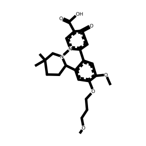 COCCCOc1cc2c(cc1OC)-c1cc(=O)c(C(=O)O)cn1N1CC(C)(C)CCC21